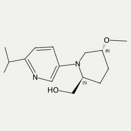 CO[C@@H]1CC[C@@H](CO)N(c2ccc(C(C)C)nc2)C1